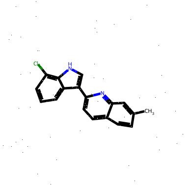 Cc1ccc2ccc(-c3c[nH]c4c(Cl)cccc34)nc2c1